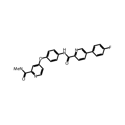 CNC(=O)c1cc(Oc2ccc(NC(=O)c3ccc(-c4ccc(F)cc4)cn3)cc2)ccn1